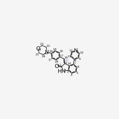 O=C1Nc2cccc(-c3ccncc3)c2/C1=C/c1ccc(N2CCOCC2)cc1